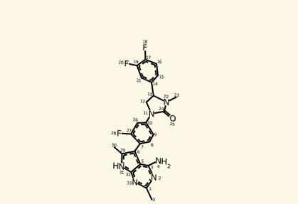 Cc1nc(N)c2c(-c3ccc(N4CC(c5ccc(F)c(F)c5)N(C)C4=O)cc3F)c(C)[nH]c2n1